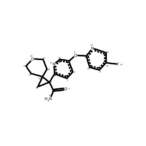 NC(=O)C1(c2ccc(Oc3ccc(F)cn3)cn2)CC12CCOCC2